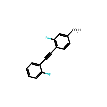 O=C(O)c1ccc(C#Cc2ccccc2F)c(F)c1